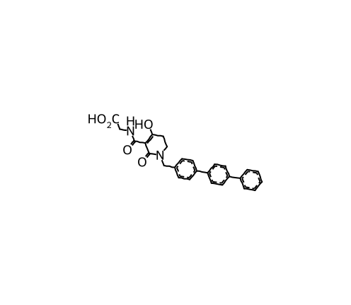 O=C(O)CNC(=O)C1=C(O)CCN(Cc2ccc(-c3ccc(-c4ccccc4)cc3)cc2)C1=O